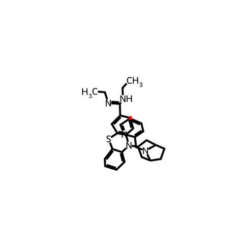 CCN=C(NCC)c1ccc2c(c1)Sc1ccccc1N2C1CC2CCC(C1)N2Cc1ccccn1